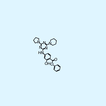 O=C(Oc1ccccc1)c1ccc(Nc2nc(N3CCCCC3)nc(N3CCCC3)n2)cc1O